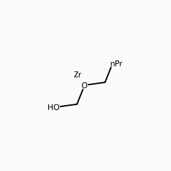 CCCCOCO.[Zr]